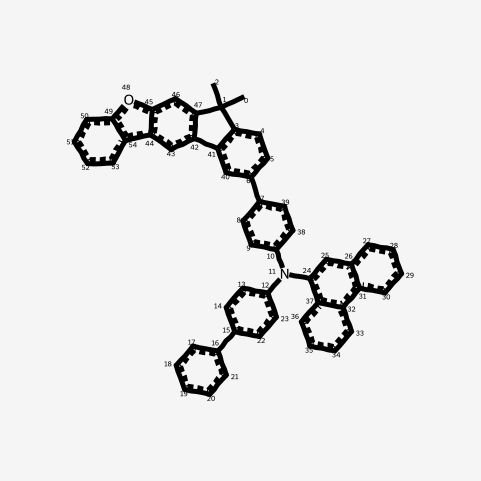 CC1(C)c2ccc(-c3ccc(N(c4ccc(-c5ccccc5)cc4)c4cc5ccccc5c5ccccc45)cc3)cc2-c2cc3c(cc21)oc1ccccc13